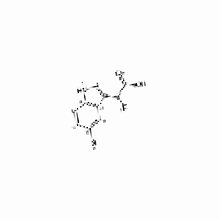 O=C(O)C(F)c1c[nH]c2ccc(Br)cc12